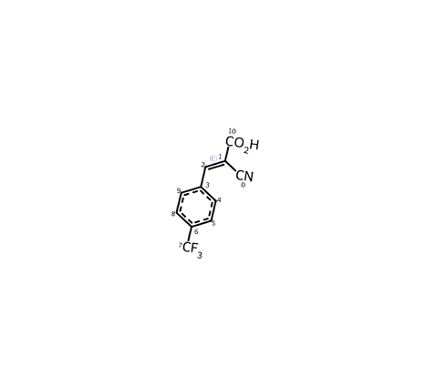 N#C/C(=C\c1ccc(C(F)(F)F)cc1)C(=O)O